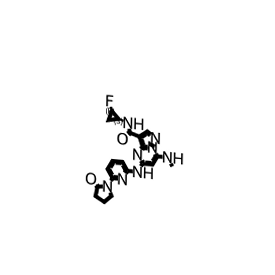 CNc1cc(Nc2cccc(N3CCCC3=O)n2)nc2c(C(=O)N[C@H]3C[C@H]3F)cnn12